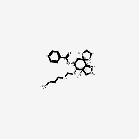 COCCOCO[C@H]1[C@H](OC(=O)c2ccccc2)CC2(OCCO2)C2=NOC[C@@H]21